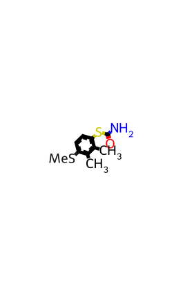 CSc1ccc(SC(N)=O)c(C)c1C